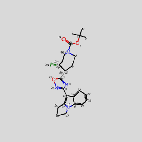 CC(C)(C)OC(=O)N1CC[C@H](c2nc(-c3c4n(c5ccccc35)CCC4)no2)[C@@H](F)C1